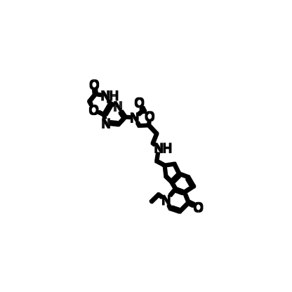 CCn1ccc(=O)c2ccc3c(c21)CC(CNCCC1CN(c2cnc4c(n2)NC(=O)CO4)C(=O)O1)C3